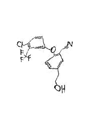 N#Cc1cc(CCO)ccc1Oc1ccc(Cl)c(C(F)(F)F)c1